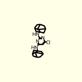 Clc1cc(NC23CC4CC(CC(C4)C2)C3)nc(NC23CC4CC(CC(C4)C2)C3)n1